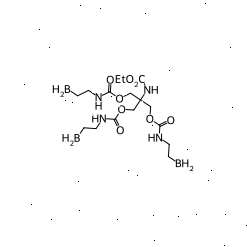 BCCNC(=O)OCC(COC(=O)NCCB)(COC(=O)NCCB)NC(=O)OCC